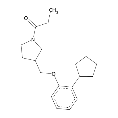 CCC(=O)N1CCC(COc2ccccc2C2CCCC2)C1